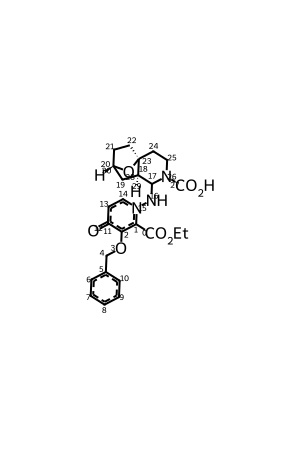 CCOC(=O)c1c(OCc2ccccc2)c(=O)ccn1NC1[C@H]2C[C@@H]3CC[C@@]2(CCN1C(=O)O)O3